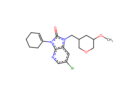 COC1COCC(Cn2c(=O)n(C3=CCCCC3)c3ncc(Br)cc32)C1